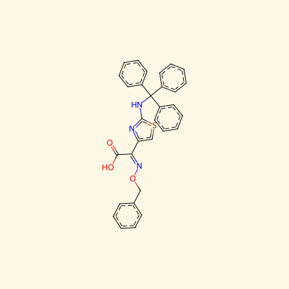 O=C(O)C(=NOCc1ccccc1)c1csc(NC(c2ccccc2)(c2ccccc2)c2ccccc2)n1